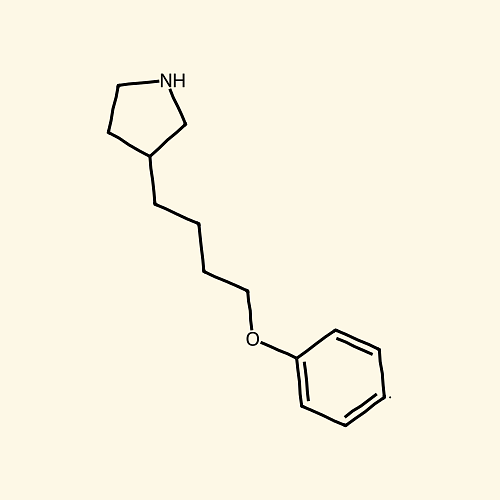 [c]1ccc(OCCCCC2CCNC2)cc1